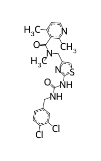 Cc1ccnc(C)c1C(=O)N(C)Cc1csc(NC(=O)NCc2ccc(Cl)c(Cl)c2)n1